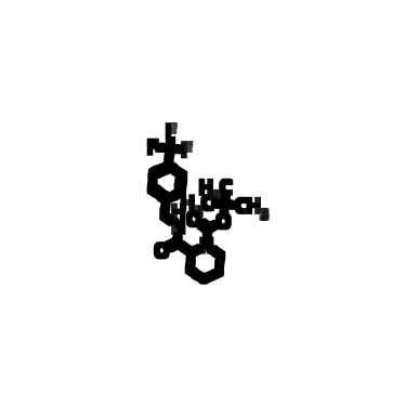 CC(C)(C)OC(=O)N1CCCCC1C(=O)NCc1ccc(C(F)(F)F)cc1